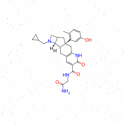 Cc1ccc(O)cc1[C@@]12Cc3[nH]c(=O)c(C(=O)NCC(N)=O)cc3C[C@H]1[C@H]1C(CN1CC1CC1)C2